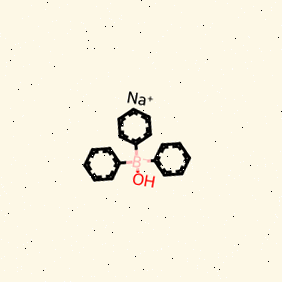 O[B-](c1ccccc1)(c1ccccc1)c1ccccc1.[Na+]